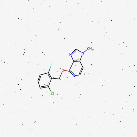 Cn1cnc2c(OCc3c(F)cccc3Cl)nccc21